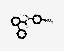 CN(C(=O)c1ccccc1-c1ccccc1)c1ccc([N+](=O)[O-])cc1